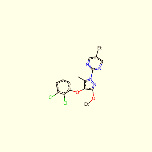 CCOc1nn(-c2ncc(CC)cn2)c(C)c1Oc1cccc(Cl)c1Cl